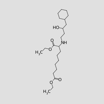 CCOC(=O)CCCCCCC(NCCC(O)CC1CCCCC1)C(=O)OCC